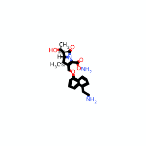 C[C@@H](O)[C@H]1C(=O)N2C(C(=O)ON)=C(COc3cccc4c(CCN)cccc34)[C@H](C)[C@H]12